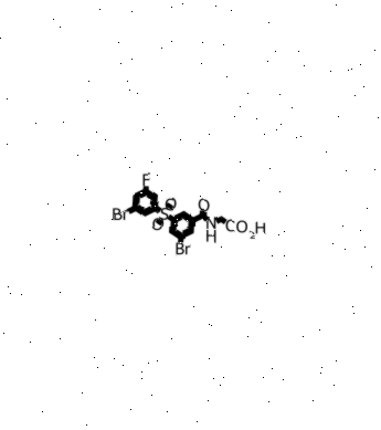 O=C(O)CNC(=O)c1cc(Br)cc(S(=O)(=O)c2cc(F)cc(Br)c2)c1